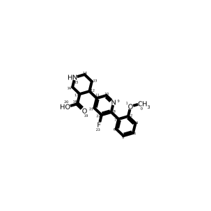 COc1ccccc1-c1ncc(C2CCNCC2C(=O)O)cc1F